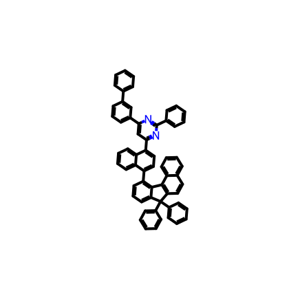 c1ccc(-c2cccc(-c3cc(-c4ccc(-c5cccc6c5-c5c(ccc7ccccc57)C6(c5ccccc5)c5ccccc5)c5ccccc45)nc(-c4ccccc4)n3)c2)cc1